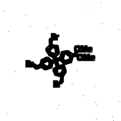 COC(OC)c1ccc(C(c2ccc(CBr)cc2)(c2ccc(CBr)cc2)c2ccc(CBr)cc2)cc1